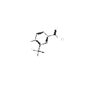 [CH2]c1ccc(C(=O)O)cc1C(F)(F)F